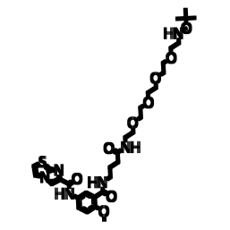 COc1ccc(NC(=O)c2cn3ccsc3n2)cc1C(=O)NCCCC(=O)NCCOCCOCCOCCOCCNOC(C)(C)C